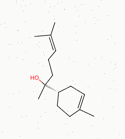 CC(C)=CCCC(C)(O)[C@@H]1CC=C(C)CC1